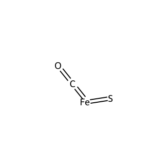 O=[C]=[Fe]=[S]